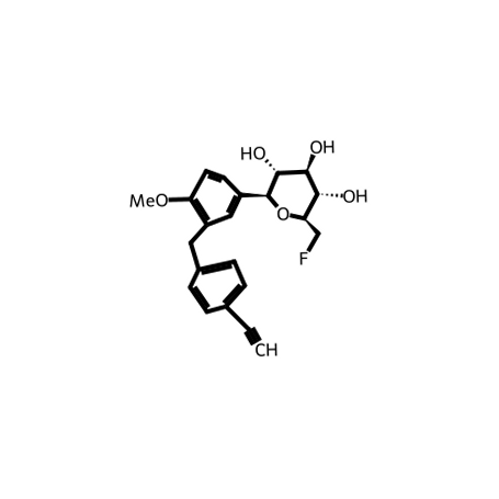 C#Cc1ccc(Cc2cc([C@@H]3O[C@H](CF)[C@@H](O)[C@H](O)[C@H]3O)ccc2OC)cc1